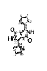 O=C1NC(c2nccs2)=C2C(=O)NC(c3nccs3)=C12